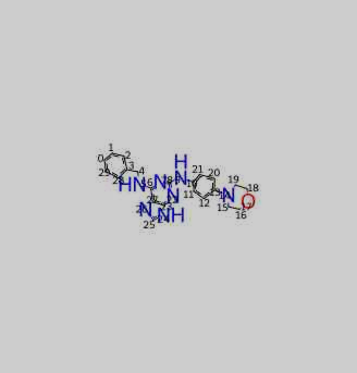 c1ccc(CNc2nc(Nc3ccc(N4CCOCC4)cc3)nc3[nH]cnc23)cc1